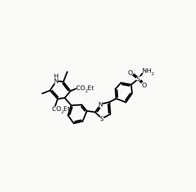 CCOC(=O)C1=C(C)NC(C)=C(C(=O)OCC)C1c1cccc(-c2nc(-c3ccc(S(N)(=O)=O)cc3)cs2)c1